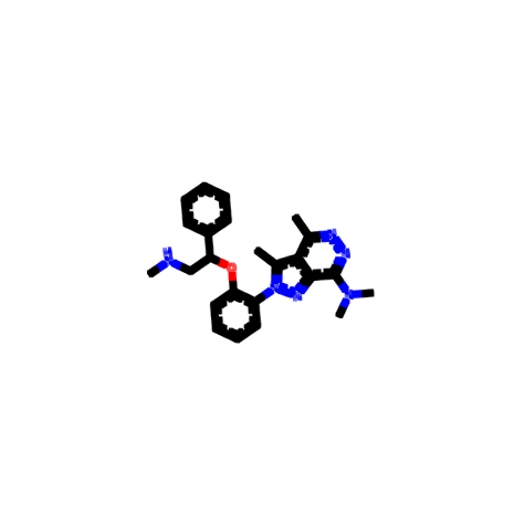 CNCC(Oc1ccccc1-n1nc2c(N(C)C)nnc(C)c2c1C)c1ccccc1